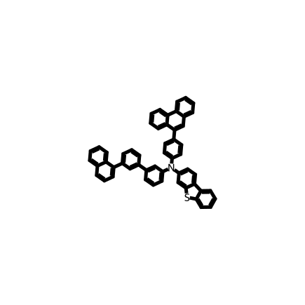 c1cc(-c2cccc(N(c3ccc(-c4cc5ccccc5c5ccccc45)cc3)c3ccc4c(c3)sc3ccccc34)c2)cc(-c2cccc3ccccc23)c1